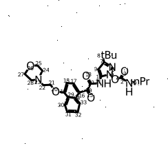 CCCNC(=O)On1nc(C(C)(C)C)cc1NC(=O)C(=O)c1ccc(OCCN2CCOCC2)c2ccccc12